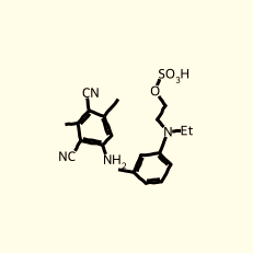 CCN(CCOS(=O)(=O)O)c1cccc(C)c1.Cc1cc(N)c(C#N)c(C)c1C#N